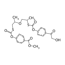 COC(=O)c1ccc(OC(=O)SCC(C)OCC(C)SC(=O)Oc2ccc(C(=O)CO)cc2)cc1